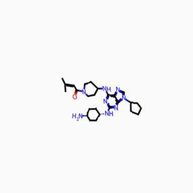 CC(C)=CC(=O)N1CCC(Nc2nc(N[C@H]3CC[C@H](N)CC3)nc3c2ncn3C2CCCC2)CC1